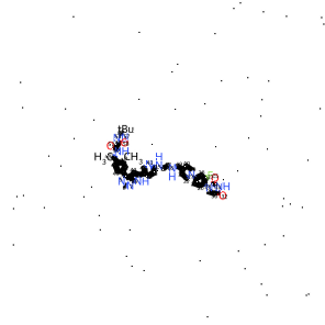 Cc1cc(-c2ncnc3[nH]c(-c4ccc(NCCNCC5CCN(c6ccc(N7CCC(=O)NC7=O)c(F)c6)CC5)nc4)cc23)ccc1[C@@H](C)NC(=O)c1nc(C(C)(C)C)no1